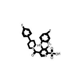 Cc1c(S(=O)(=O)O)ncc(C(=O)N2CCC(c3ccc(F)cc3)CC2)c1Nc1ccc(F)cc1